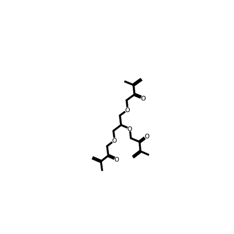 C=C(C)C(=O)COCC(COCC(=O)C(=C)C)OCC(=O)C(=C)C